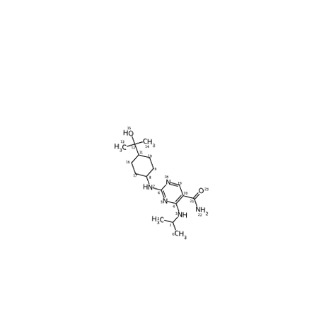 CC(C)Nc1nc(NC2CCC(C(C)(C)O)CC2)ncc1C(N)=O